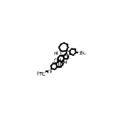 CCOCO[C@H]1CC[C@@]2(C)C(=CC[C@H]3[C@@H]4CC[C@@H]([C@]5(C6CCC(C(C)(C)C)CC6)CC[CH]CCCC5)[C@]4(C)CC[C@@H]32)C1